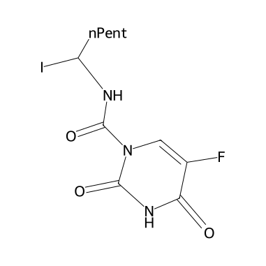 CCCCCC(I)NC(=O)n1cc(F)c(=O)[nH]c1=O